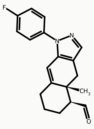 C[C@]12Cc3cnn(-c4ccc(F)cc4)c3C=C1CCC[C@@H]2C=O